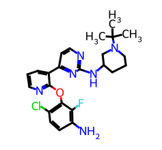 CC(C)(C)N1CCCC(Nc2nccc(-c3cccnc3Oc3c(Cl)ccc(N)c3F)n2)C1